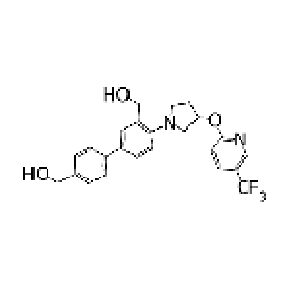 OCc1ccc(-c2ccc(N3CCC(Oc4ccc(C(F)(F)F)cn4)C3)c(CO)c2)cc1